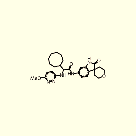 COc1ccc(NC(C(=O)Nc2ccc3c(c2)NC(=O)C32CCOCC2)C2CCCCCCC2)nn1